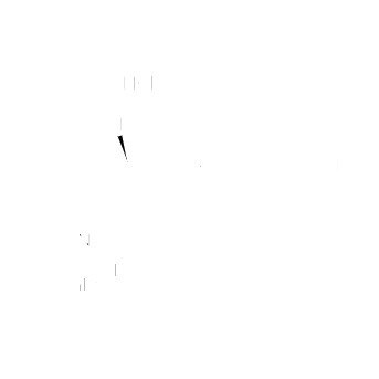 CCCN1CCC[C@H]2[C@H]1Cc1ccc(O)cc1C2(C)C.Cl